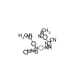 Cn1cc(-c2ccc(N(C(=O)NCc3ccccc3)C3CCC(Nc4ncc(C#N)c(-c5ccc6c(c5)ncn6C)n4)CC3)cc2)cn1